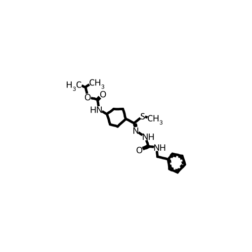 CS/C(=N\NC(=O)NCc1ccccc1)C1CCC(NC(=O)OC(C)C)CC1